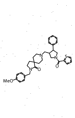 COc1ccc(CN2CCC3(CCN(CC4CN(C(=O)c5cccs5)CC4c4ccccc4)CC3)C2=O)cc1